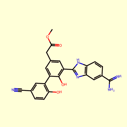 COC(=O)Cc1cc(-c2nc3cc(C(=N)N)ccc3[nH]2)c(O)c(-c2cc(C#N)ccc2O)c1